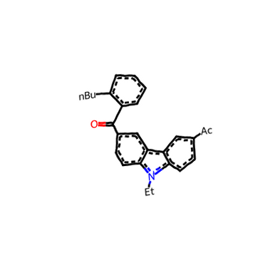 CCCCc1ccccc1C(=O)c1ccc2c(c1)c1cc(C(C)=O)ccc1n2CC